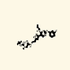 CCCNc1nc(Nc2cccc(F)c2)ncc1-c1cc(CCNC(=O)CN(C)C(=O)OC(C)(C)C)on1